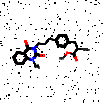 CCCOC(=O)C(Cc1ccc(CCCn2c(=O)c3ccccc3n(C)c2=O)cc1)OC